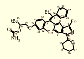 CCC(=C(c1ccc2c(c1)c(F)nn2C1CCCCO1)c1ccc(OCC(OC(N)=O)C(C)(C)C)cc1F)c1ccccc1